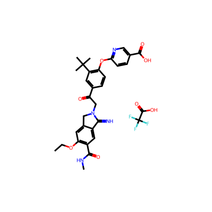 CCOc1cc2c(cc1C(=O)NC)C(=N)N(CC(=O)c1ccc(Oc3ccc(C(=O)O)cn3)c(C(C)(C)C)c1)C2.O=C(O)C(F)(F)F